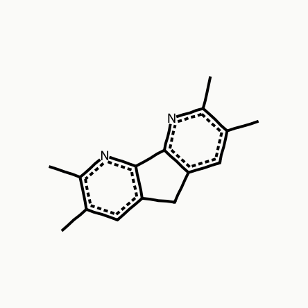 Cc1cc2c(nc1C)-c1nc(C)c(C)cc1C2